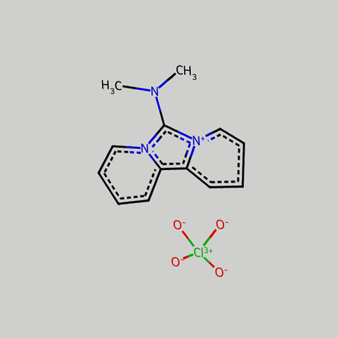 CN(C)c1n2ccccc2c2cccc[n+]12.[O-][Cl+3]([O-])([O-])[O-]